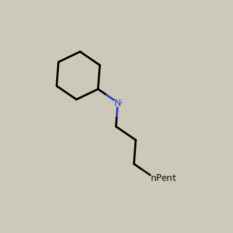 CCCCCCCC[N]C1CCCCC1